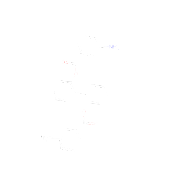 Cc1cccc(C(=O)Oc2ccccc2-c2ccccc2OC(=O)c2cccc(N)c2)c1